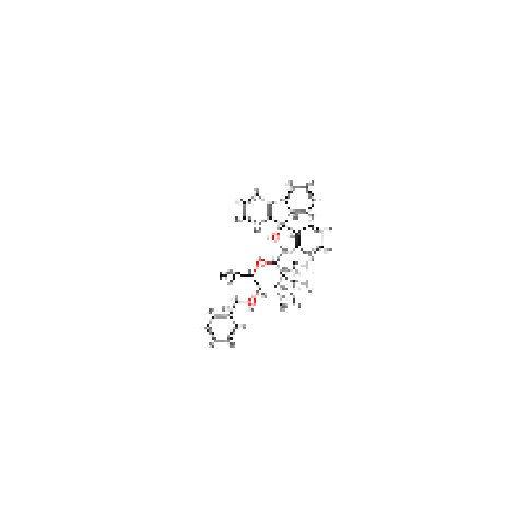 CC1OC(COC(c2ccccc2)(c2ccccc2)c2ccccc2)C(C)(C)[C@H](C)C1OCc1ccccc1